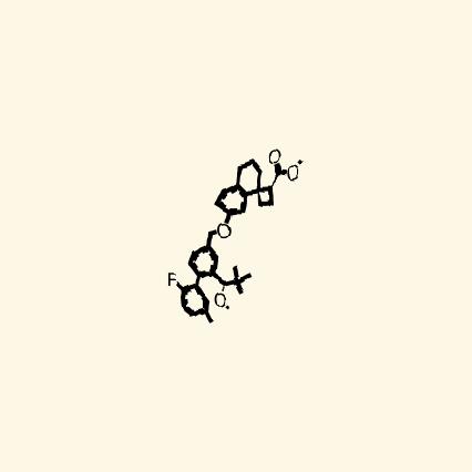 COC(=O)[C@H]1CC[C@@]12CCCc1ccc(OCc3ccc(-c4cc(C)ccc4F)c([C@@H](OC)C(C)(C)C)c3)cc12